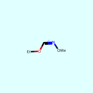 CCO/C=N\OC